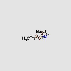 CCCSSC1=NCCS1.[Na]